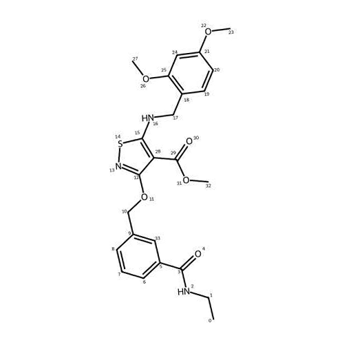 CCNC(=O)c1cccc(COc2nsc(NCc3ccc(OC)cc3OC)c2C(=O)OC)c1